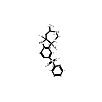 CC1C[C@H]2Nc3ccc(S(=O)(=O)c4ccccc4)cc3[C@H]2CCN1